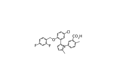 Cc1ccc(-n2c(C)ccc2-c2cc(Cl)ccc2OCc2ccc(F)cc2F)cc1C(=O)O